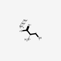 N[C@@H](CS)C(=O)[O-].[BH4-].[Na+].[Na+]